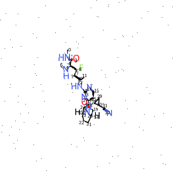 CNC(=O)/C(NC)=C(F)/C=C(\C)Nc1nccc(N2C[C@H]3CC[C@@H](C2)N3C(=O)[C@@H]2CC2C#N)n1